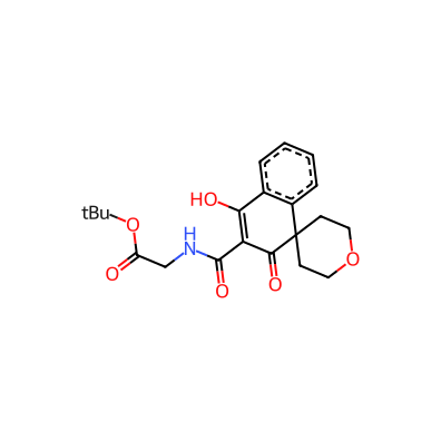 CC(C)(C)OC(=O)CNC(=O)C1=C(O)c2ccccc2C2(CCOCC2)C1=O